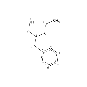 COCC(CO)Sc1ccccc1